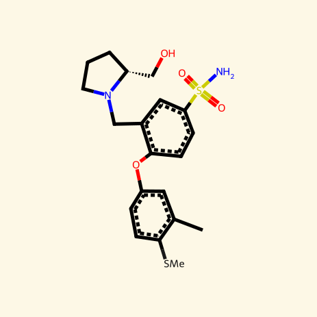 CSc1ccc(Oc2ccc(S(N)(=O)=O)cc2CN2CCC[C@@H]2CO)cc1C